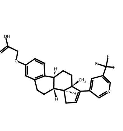 C[C@]12CC[C@@H]3c4ccc(OCC(=O)O)cc4CC[C@H]3[C@@H]1CC=C2c1cncc(C(F)(F)F)c1